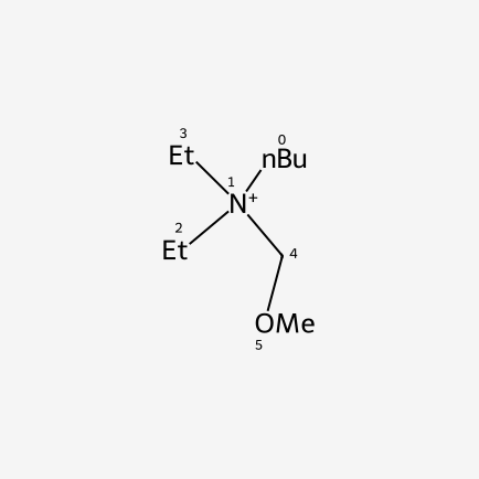 CCCC[N+](CC)(CC)COC